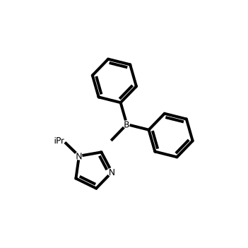 CB(c1ccccc1)c1ccccc1.CC(C)n1ccnc1